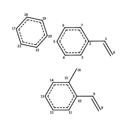 C=Cc1ccccc1.C=Cc1ccccc1C.c1ccccc1